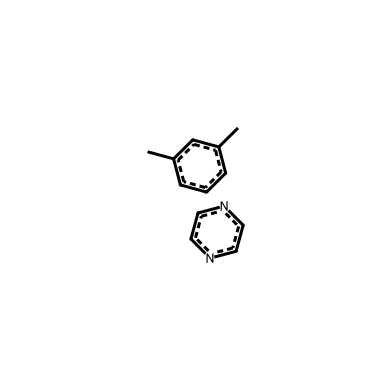 Cc1cccc(C)c1.c1cnccn1